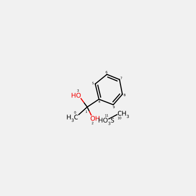 CC(O)(O)c1ccccc1.CS(=O)(=O)O